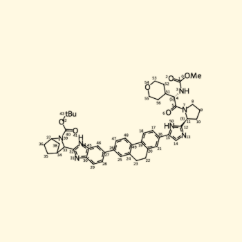 COC(=O)N[C@H](C(=O)N1CCC[C@H]1c1ncc(-c2ccc3c(c2)CCc2cc(-c4ccc5nc(C6C7CCC(C7)N6C(=O)OC(C)(C)C)[nH]c5c4)ccc2-3)[nH]1)C1CCOCC1